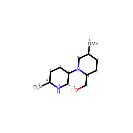 COC1CCC(CO)N(C2CCC([N+](=O)[O-])NC2)C1